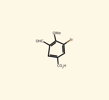 COc1c(Br)cc(C(=O)O)cc1C=O